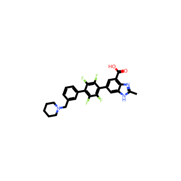 Cc1nc2c(C(=O)O)cc(-c3c(F)c(F)c(-c4cccc(CN5CCCCC5)c4)c(F)c3F)cc2[nH]1